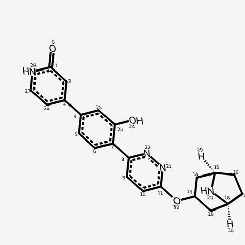 O=c1cc(-c2ccc(-c3ccc(OC4C[C@H]5CC[C@@H](C4)N5)nn3)c(O)c2)cc[nH]1